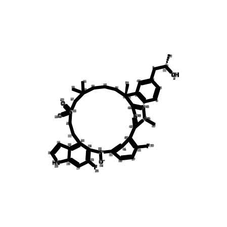 C[C@H](O)Cc1cccc([C@@]2(C)CCCC(C)(C)CS(=O)(=O)CCc3c(c(F)cc4[nH]ccc34)[S+]([O-])c3ccc(F)c(c3)-c3nc2nn3C)c1